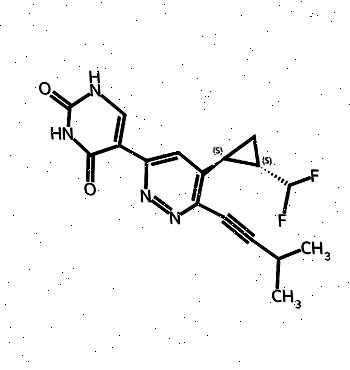 CC(C)C#Cc1nnc(-c2c[nH]c(=O)[nH]c2=O)cc1[C@H]1C[C@@H]1C(F)F